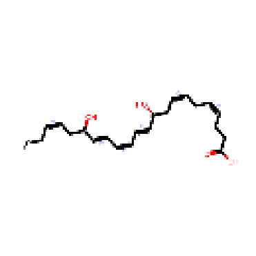 CC/C=C\CC(O)/C=C/C=C\C=C\[C@@H](O)C/C=C\C/C=C\CCC(=O)O